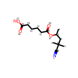 CC(CC(C)(C)C#N)OC(=O)CCCCC(=O)O